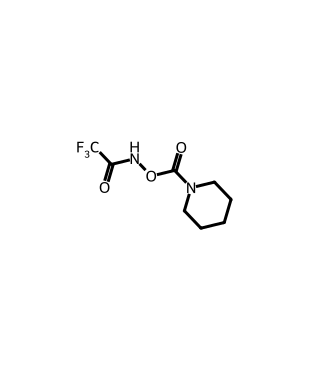 O=C(ONC(=O)C(F)(F)F)N1CCCCC1